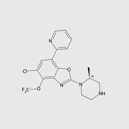 C[C@H]1CNCCN1c1nc2c(OC(F)(F)F)c(Cl)cc(-c3ccccn3)c2o1